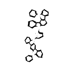 c1ccc(-n2c3ccccc3c3cc4c(cc32)c2ccccc2n4-c2cccc(-n3c4ccccc4c4c3ccc3c5ccccc5n(-c5ccccc5)c34)n2)cc1